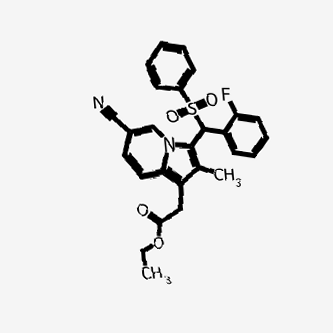 CCOC(=O)Cc1c(C)c(C(c2ccccc2F)S(=O)(=O)c2ccccc2)n2cc(C#N)ccc12